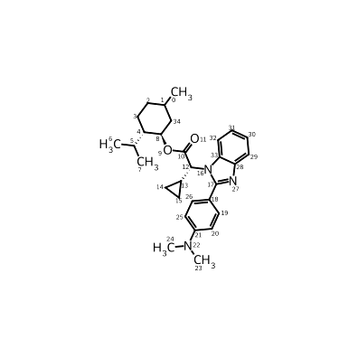 CC1CC[C@@H](C(C)C)[C@H](OC(=O)[C@@H](C2CC2)n2c(-c3ccc(N(C)C)cc3)nc3ccccc32)C1